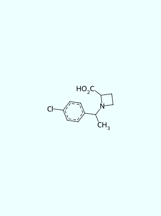 CC(c1ccc(Cl)cc1)N1CCC1C(=O)O